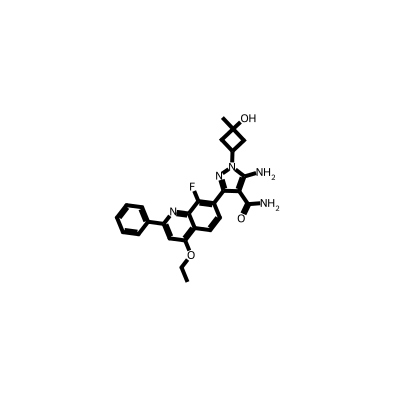 CCOc1cc(-c2ccccc2)nc2c(F)c(-c3nn(C4CC(C)(O)C4)c(N)c3C(N)=O)ccc12